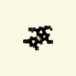 Cc1nc(N)c2nc(O)n(Cc3ccc(Cl)cc3Cl)c2n1